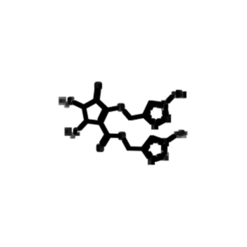 CCCCn1cc(COC2=C(C(=O)OCc3cn(CCC)nn3)C(C)C(C)C2=O)nn1